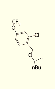 [CH2]C(CCCC)OCc1ccc(OC(F)(F)F)cc1Cl